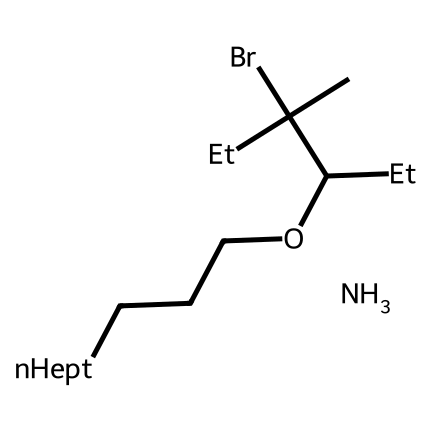 CCCCCCCCCCOC(CC)C(C)(Br)CC.N